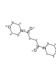 O=C([CH]CC(=O)N1CCOCC1)N1CCOCC1